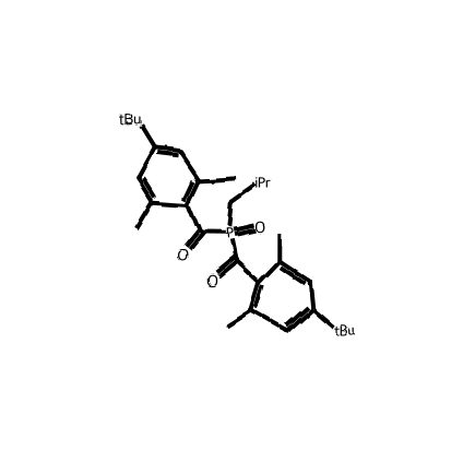 Cc1cc(C(C)(C)C)cc(C)c1C(=O)P(=O)(CC(C)C)C(=O)c1c(C)cc(C(C)(C)C)cc1C